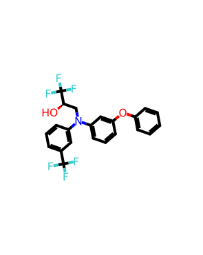 O[C@H](CN(c1cccc(Oc2ccccc2)c1)c1cccc(C(F)(F)F)c1)C(F)(F)F